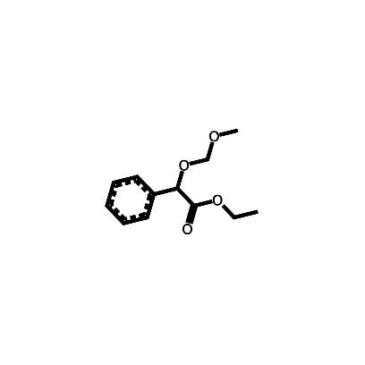 CCOC(=O)C(OCOC)c1ccccc1